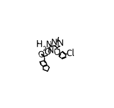 Cc1ncc(Oc2cccc(Cl)c2)c(C(N)=NOCC(=O)c2ccc3c(c2)CCC3)n1